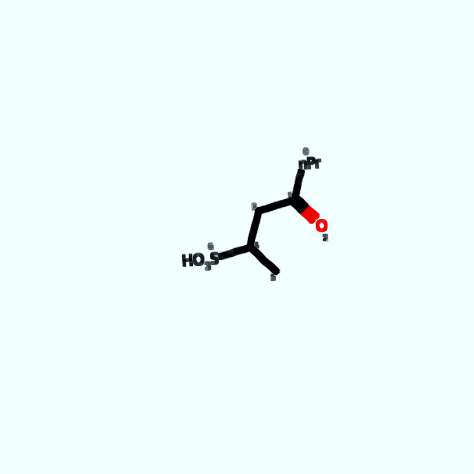 CCCC(=O)CC(C)S(=O)(=O)O